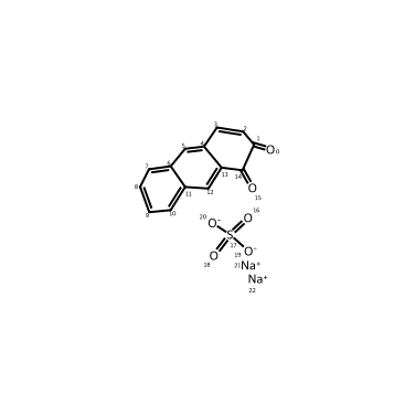 O=C1C=Cc2cc3ccccc3cc2C1=O.O=S(=O)([O-])[O-].[Na+].[Na+]